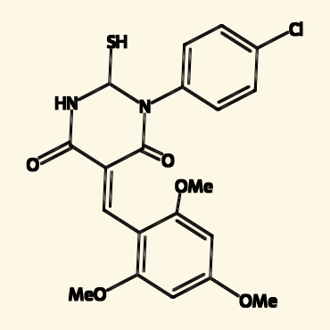 COc1cc(OC)c(/C=C2/C(=O)NC(S)N(c3ccc(Cl)cc3)C2=O)c(OC)c1